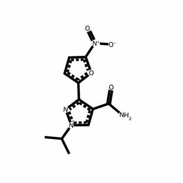 CC(C)n1cc(C(N)=O)c(-c2ccc([N+](=O)[O-])o2)n1